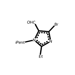 CCCC(C)n1c(CC)nc(Br)c1C=O